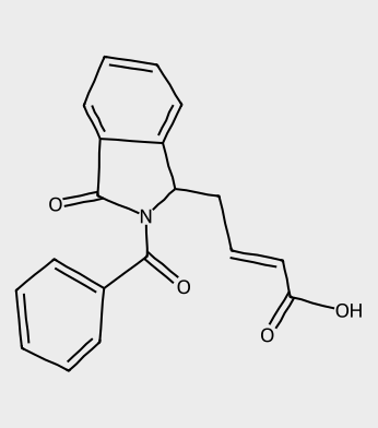 O=C(O)/C=C/CC1c2ccccc2C(=O)N1C(=O)c1ccccc1